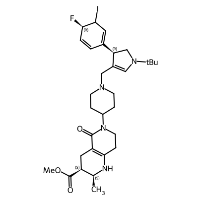 COC(=O)[C@H]1CC2=C(CCN(C3CCN(CC4=CN(C(C)(C)C)C[C@@H]4C4=CC(I)[C@H](F)C=C4)CC3)C2=O)N[C@H]1C